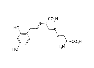 N[C@@H](CSSC[C@H](N=CCc1ccc(O)cc1O)C(=O)O)C(=O)O